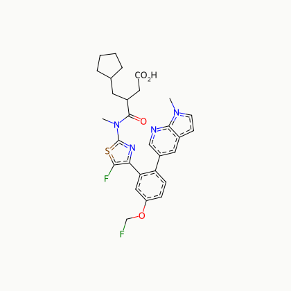 CN(C(=O)C(CC(=O)O)CC1CCCC1)c1nc(-c2cc(OCF)ccc2-c2cnc3c(ccn3C)c2)c(F)s1